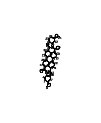 COc1ccc2c(c1)nc1c3ccc4c5ccc6c(=O)n7c8cc(OC)ccc8nc7c7ccc(c8ccc(c(=O)n21)c3c48)c5c67